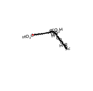 CC(=O)COCC(=O)NCCCOCCOCCOCCCNC(=O)CC[C@H](NC(=O)CCCCCCCCCCCCCCCCCCC(=O)O)C(=O)O